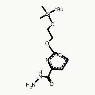 CC(C)(C)[Si](C)(C)OCCOc1cccc(C(=O)NN)n1